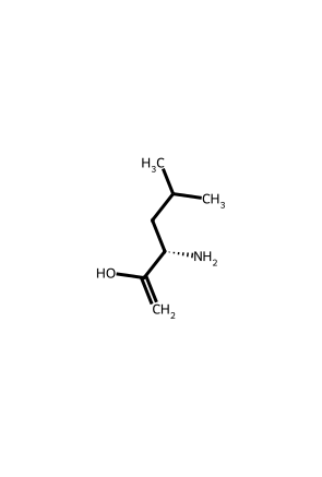 C=C(O)[C@@H](N)CC(C)C